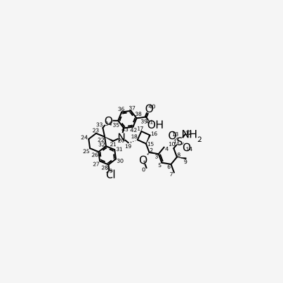 CO[C@@H](/C(C)=C/C(C)[C@H](C)CS(N)(=O)=O)[C@@H]1CC[C@H]1CN1C[C@@]2(CCCc3cc(Cl)ccc32)COc2ccc(C(=O)O)cc21